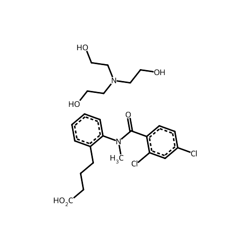 CN(C(=O)c1ccc(Cl)cc1Cl)c1ccccc1CCCC(=O)O.OCCN(CCO)CCO